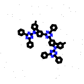 Cc1ccc2c(c1)c1cc(-c3nc(-c4ccccc4)nc(-c4ccc5c(c4)c4cc(C)ccc4n5-c4nc(-c5ccccc5)nc(-c5ccccc5)n4)n3)ccc1n2-c1nc(-c2ccccc2)nc(-c2ccccc2)n1